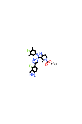 Cc1cc(-n2nc3c(c2-n2cc(-c4ccc5c(cnn5C)c4F)nn2)[C@H](C)N(C(=O)OC(C)(C)C)CC3)cc(C)c1F